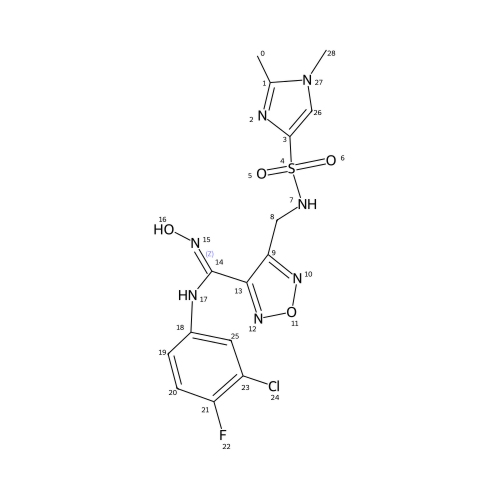 Cc1nc(S(=O)(=O)NCc2nonc2/C(=N/O)Nc2ccc(F)c(Cl)c2)cn1C